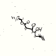 CCOC(=O)CC(=O)CC(O)CC#N